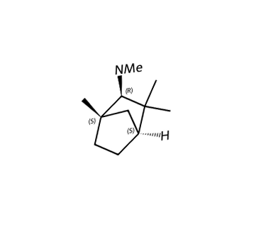 CN[C@H]1C(C)(C)[C@H]2CC[C@@]1(C)C2